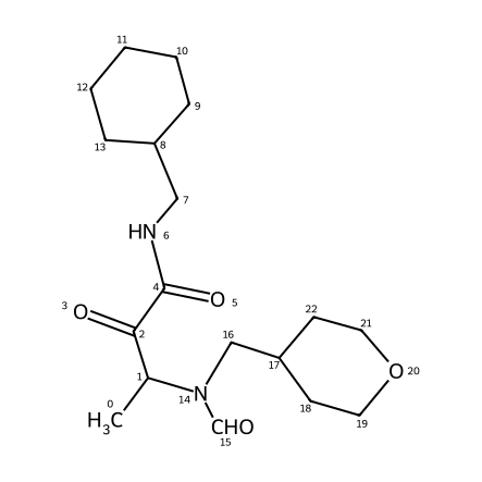 CC(C(=O)C(=O)NCC1CCCCC1)N(C=O)CC1CCOCC1